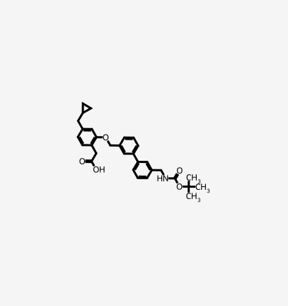 CC(C)(C)OC(=O)NCc1cccc(-c2cccc(COc3cc(CC4CC4)ccc3CC(=O)O)c2)c1